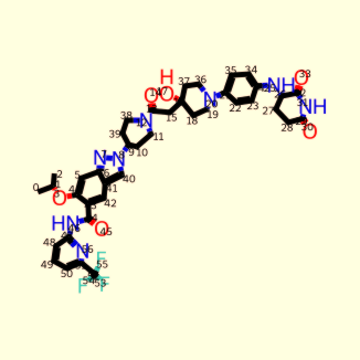 CC(C)Oc1cc2nn(C3CCN(C(=O)CC4(O)CCN(c5ccc(NC6CCC(=O)NC6=O)cc5)CC4)CC3)cc2cc1C(=O)Nc1cccc(C(F)(F)F)n1